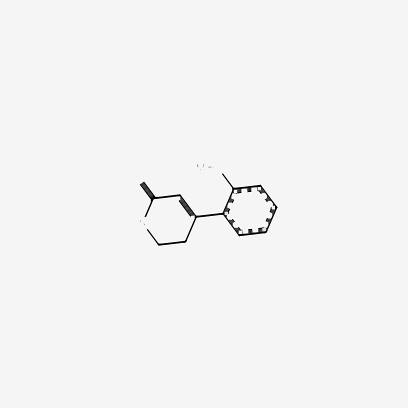 COc1ccccc1C1=CC(=O)NCC1